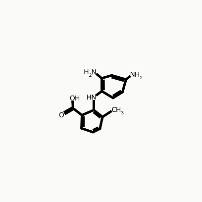 Cc1cccc(C(=O)O)c1Nc1ccc(N)cc1N